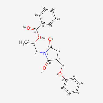 CC(CN1C(=O)CC(COc2ccccc2)C1=O)OC(=O)c1ccccc1